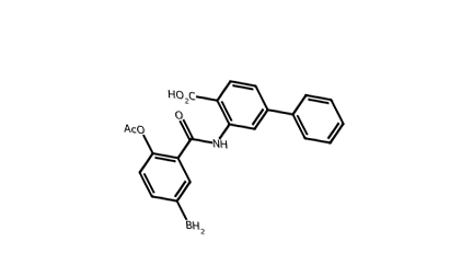 Bc1ccc(OC(C)=O)c(C(=O)Nc2cc(-c3ccccc3)ccc2C(=O)O)c1